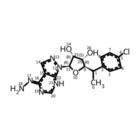 CC(c1ccc(Cl)cc1)[C@H]1O[C@@H](n2ncc3c(=NN)nc[nH]c32)[C@H](O)[C@@H]1O